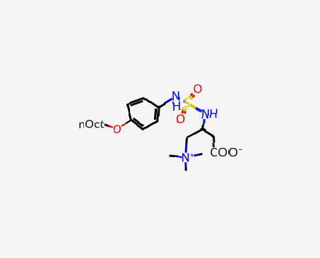 CCCCCCCCOc1ccc(NS(=O)(=O)NC(CC(=O)[O-])C[N+](C)(C)C)cc1